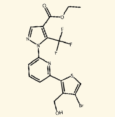 CCOC(=O)c1cnn(-c2cccc(-c3scc(Br)c3CO)n2)c1C(F)(F)F